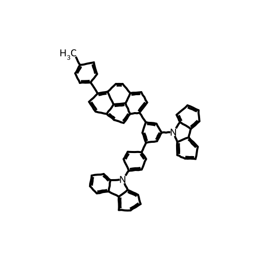 Cc1ccc(-c2ccc3ccc4c(-c5cc(-c6ccc(-n7c8ccccc8c8ccccc87)cc6)cc(-n6c7ccccc7c7ccccc76)c5)ccc5ccc2c3c54)cc1